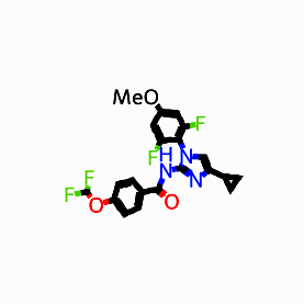 COc1cc(F)c(-n2cc(C3CC3)nc2NC(=O)c2ccc(OC(F)F)cc2)c(F)c1